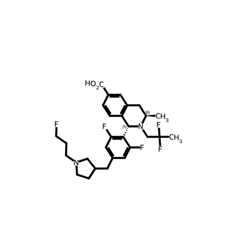 C[C@@H]1Cc2cc(C(=O)O)ccc2[C@@H](c2c(F)cc(CC3CCN(CCCF)C3)cc2F)N1CC(C)(F)F